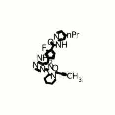 CC#CC(=O)N1CCCC[C@H]1c1nc(-c2ccc(C(=O)Nc3cc(CCC)ccn3)c(F)c2)c2c(N)nccn12